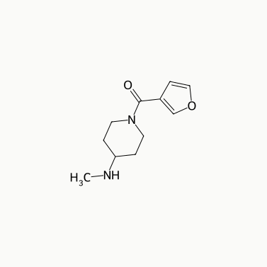 CNC1CCN(C(=O)c2ccoc2)CC1